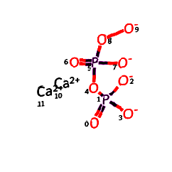 O=P([O-])([O-])OP(=O)([O-])O[O-].[Ca+2].[Ca+2]